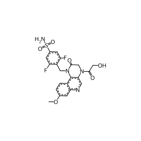 COc1ccc2c3c(cnc2c1)N(C(=O)CO)CC(=O)N3Cc1c(F)cc(S(N)(=O)=O)cc1F